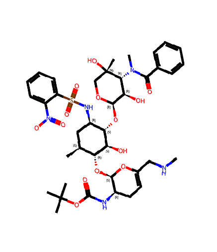 CNCC1=CC[C@@H](NC(=O)OC(C)(C)C)[C@@H](O[C@H]2[C@H](O)[C@@H](O[C@H]3OC[C@](C)(O)[C@H](N(C)C(=O)c4ccccc4)[C@H]3O)[C@H](NS(=O)(=O)c3ccccc3[N+](=O)[O-])C[C@@H]2C)O1